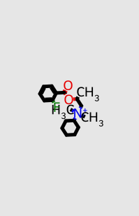 CC(C[N+](C)(C)C1CCCCC1)OC(=O)c1ccccc1F